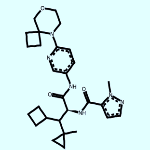 Cn1nccc1C(=O)N[C@H](C(=O)Nc1ccc(N2CCOCC23CCC3)nc1)C(C1CCC1)C1(C)CC1